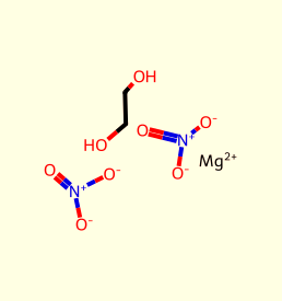 O=[N+]([O-])[O-].O=[N+]([O-])[O-].OCCO.[Mg+2]